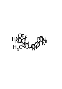 CC(COCc1cc2n(n1)CCN(c1nccn3ccnc13)C2)Nc1cn[nH]c(=O)c1C(F)(F)F